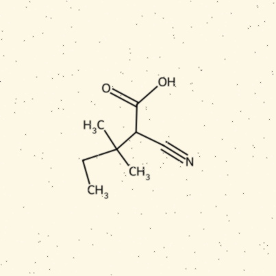 CCC(C)(C)C(C#N)C(=O)O